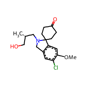 COc1cc2c(cc1Cl)CN(C[C@@H](C)CO)C21CCC(=O)CC1